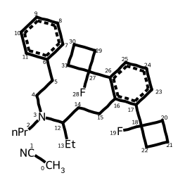 CC#N.CCCN(CCc1ccccc1)C(CC)CCc1c(C2(F)CCC2)cccc1C1(F)CCC1